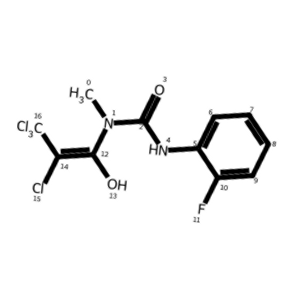 CN(C(=O)Nc1ccccc1F)/C(O)=C(/Cl)C(Cl)(Cl)Cl